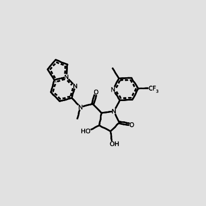 Cc1cc(C(F)(F)F)cc(N2C(=O)C(O)C(O)C2C(=O)N(C)c2ccc3cccn3n2)n1